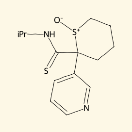 CC(C)NC(=S)C1(c2cccnc2)CCCC[S+]1[O-]